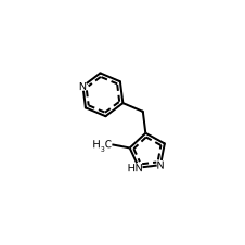 Cc1[nH]ncc1Cc1ccncc1